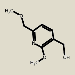 COCc1ccc(CO)c(OC)n1